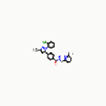 O=C(NCc1cccc(C(F)(F)F)n1)c1ccc(-c2cc(C(F)(F)F)nn2-c2ccccc2Cl)cc1